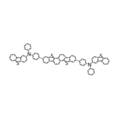 c1ccc(N(c2ccc(-c3ccc4c(c3)sc3c4ccc4c3ccc3c5ccc(-c6ccc(N(c7ccccc7)c7ccc8sc9ccccc9c8c7)cc6)cc5sc34)cc2)c2ccc3sc4ccccc4c3c2)cc1